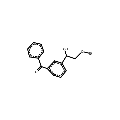 CCO[CH]C(O)c1cccc(C(=O)c2ccccc2)c1